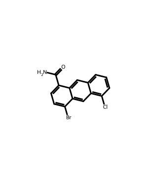 NC(=O)c1ccc(Br)c2cc3c(Cl)cccc3cc12